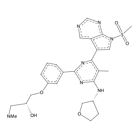 CNC[C@@H](O)COc1cccc(-c2nc(N[C@@H]3CCOC3)c(C)c(-c3cn(S(C)(=O)=O)c4ncncc34)n2)c1